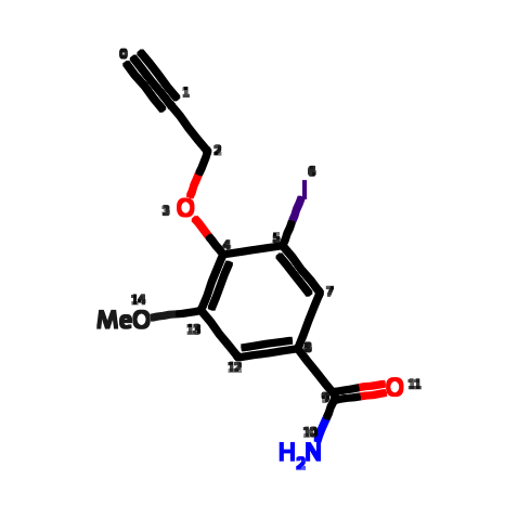 C#CCOc1c(I)cc(C(N)=O)cc1OC